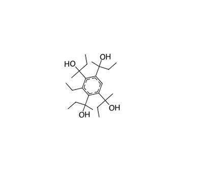 CCc1c(C(C)(O)CC)c(C(C)(O)CC)cc(C(C)(O)CC)c1C(C)(O)CC